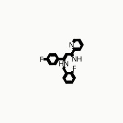 N=C(/C=C(\NCc1ccccc1F)c1ccc(F)cc1)c1ccccn1